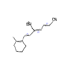 CC1=C(/C=C/C(=C/C=C/C#N)C(C)(C)C)CCCC1